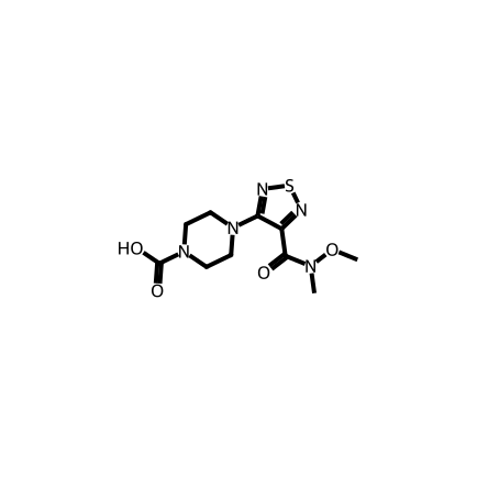 CON(C)C(=O)c1nsnc1N1CCN(C(=O)O)CC1